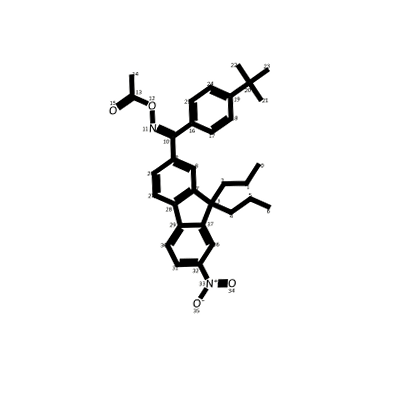 CCCC1(CCC)c2cc(/C(=N/OC(C)=O)c3ccc(C(C)(C)C)cc3)ccc2-c2ccc([N+](=O)[O-])cc21